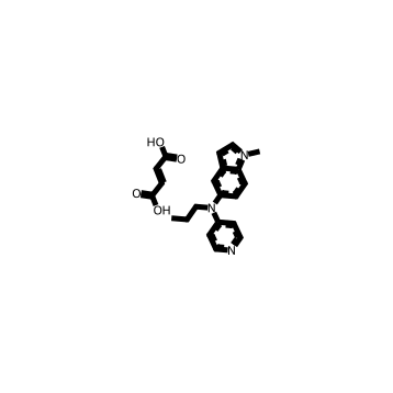 CCCN(c1ccncc1)c1ccc2c(ccn2C)c1.O=C(O)C=CC(=O)O